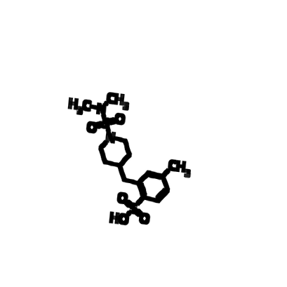 Cc1ccc(S(=O)(=O)O)c(CC2CCN(S(=O)(=O)N(C)C)CC2)c1